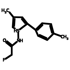 CC1=C[SH](NC(=O)CF)C(c2ccc(C)cc2)=C1